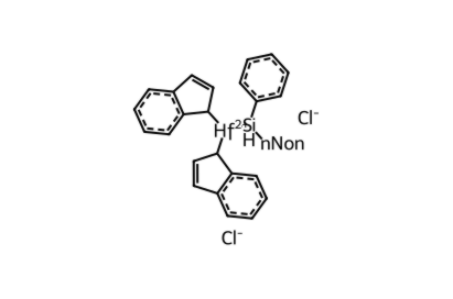 CCCCCCCCC[SiH](c1ccccc1)[Hf+2]([CH]1C=Cc2ccccc21)[CH]1C=Cc2ccccc21.[Cl-].[Cl-]